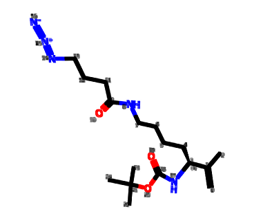 C=C(C)[C@H](CCCCNC(=O)CCCN=[N+]=[N-])NC(=O)OC(C)(C)C